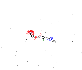 Cn1nnc(-c2ccc(-c3ccc(N4C[C@H](COC(=O)c5ccc(CC(P(=O)(O)O)P(=O)(O)O)cc5)OC4=O)cc3F)cn2)n1